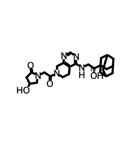 O=C(CN1CC(O)CC1=O)N1CCc2c(ncnc2NC[C@@H](O)C23CC4CC(CC(C4)C2)C3)C1